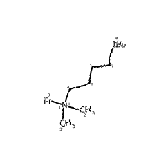 CC(C)[N+](C)(C)CCCCC(C)(C)C